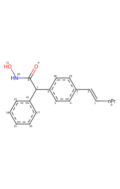 CCCC=Cc1ccc(C(C(=O)NO)c2ccccc2)cc1